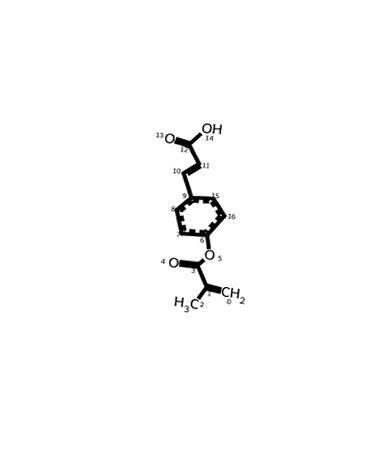 C=C(C)C(=O)Oc1ccc(/C=C/C(=O)O)cc1